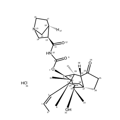 C/C=C\[C@]1(C)C[C@@H](OC(=O)NC(=O)[C@H]2CN3CC[C@@H]2C3)[C@@]2(C)[C@@H]3C(=O)CC[C@@]3(CC[C@@H]2C)[C@@H](C)[C@@H]1O.Cl